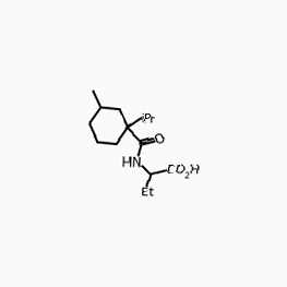 CCC(NC(=O)C1(C(C)C)CCCC(C)C1)C(=O)O